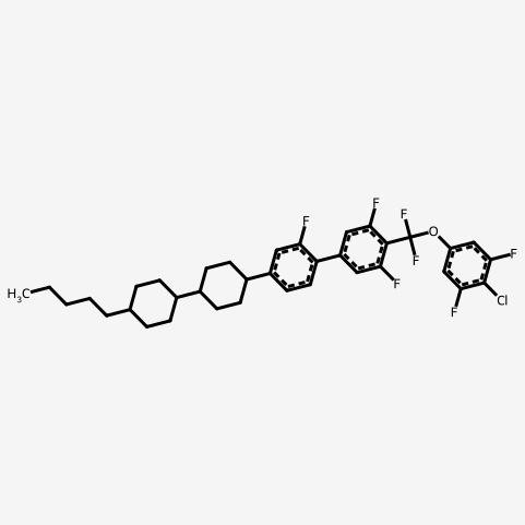 CCCCCC1CCC(C2CCC(c3ccc(-c4cc(F)c(C(F)(F)Oc5cc(F)c(Cl)c(F)c5)c(F)c4)c(F)c3)CC2)CC1